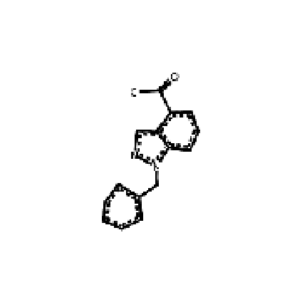 O=C(Cl)c1cccc2c1cnn2Cc1ccccc1